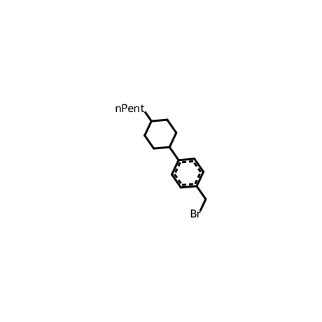 CCCCCC1CCC(c2ccc(CBr)cc2)CC1